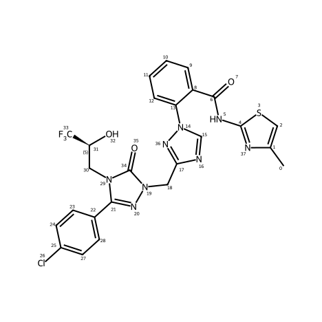 Cc1csc(NC(=O)c2ccccc2-n2cnc(Cn3nc(-c4ccc(Cl)cc4)n(C[C@H](O)C(F)(F)F)c3=O)n2)n1